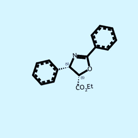 CCOC(=O)[C@H]1OC(c2ccccc2)=N[C@H]1c1ccccc1